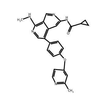 CNc1ncc(-c2ccc(Oc3ccnc(C)c3)cc2)c2cc(NC(=O)C3CC3)ncc12